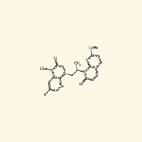 COc1ccc2ccc(=O)n(C(C)Cc3cc(=O)n(C(C)(C)C)c4cc(F)cnc34)c2n1